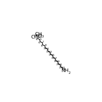 C[Si](Cl)(Cl)CCCCCCCCCCCCCCCCCCCCN